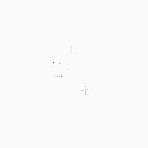 C=C(CC(=O)[O-])C(=O)[O-].C=CC(=O)OC.OCC(CO)(CO)CO.[Mg+2]